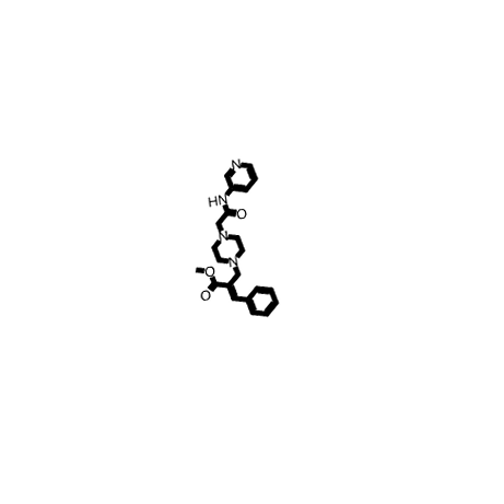 COC(=O)/C(=C/c1ccccc1)CN1CCN(CC(=O)Nc2cccnc2)CC1